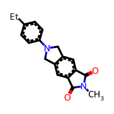 CCc1ccc(N2Cc3cc4c(cc3C2)C(=O)N(C)C4=O)cc1